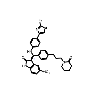 CCc1nc(-c2ccc(N/C(=C3\C(=O)Nc4ccc([N+](=O)[O-])cc43)c3ccc(CCCN4CCCCC4=O)cc3)cc2)c[nH]1